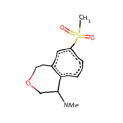 CNC1COCc2cc(S(C)(=O)=O)ccc21